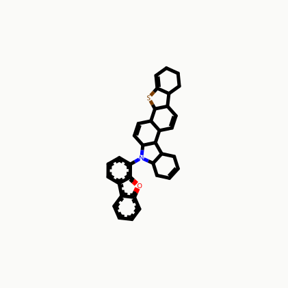 C1=CCC2C(C1)C1C3C=CC4C5CCCC=C5SC4C3C=CC1N2c1cccc2c1oc1ccccc12